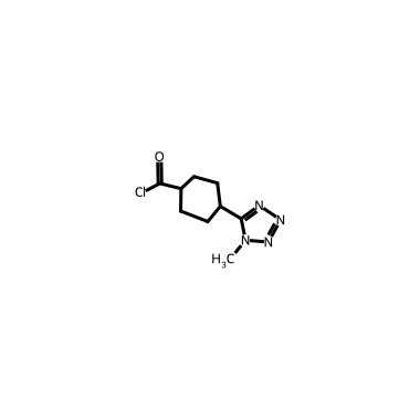 Cn1nnnc1C1CCC(C(=O)Cl)CC1